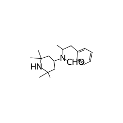 CC(Cc1ccccc1)N(C=O)C1CC(C)(C)NC(C)(C)C1